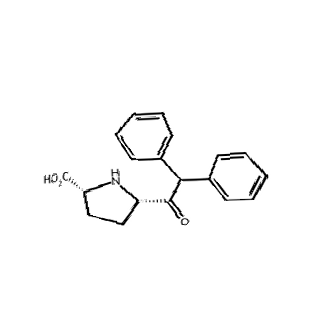 O=C(C(c1ccccc1)c1ccccc1)[C@@H]1CC[C@H](C(=O)O)N1